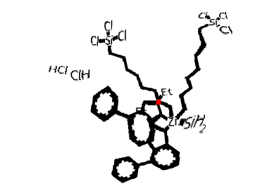 CCC1=Cc2c(-c3ccccc3)cccc2[CH]1[Zr](=[SiH2])([CH2]CCCCCCC[Si](Cl)(Cl)Cl)([CH2]CCCCCCC[Si](Cl)(Cl)Cl)[CH]1C(CC)=Cc2c(-c3ccccc3)cccc21.Cl.Cl